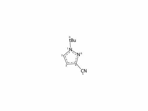 CC(C)(C)n1ccc(C#N)n1